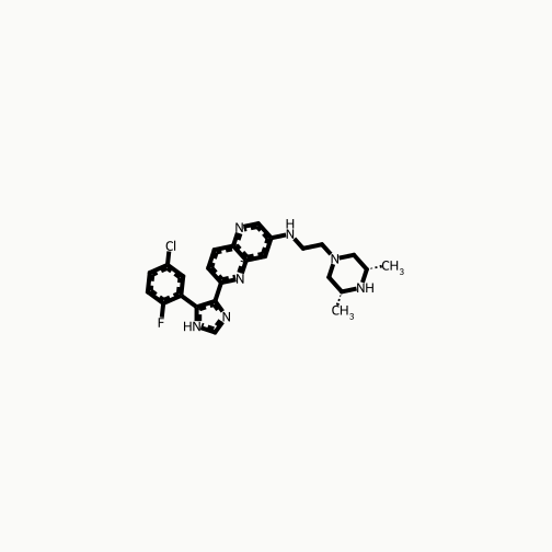 C[C@@H]1CN(CCNc2cnc3ccc(-c4nc[nH]c4-c4cc(Cl)ccc4F)nc3c2)C[C@H](C)N1